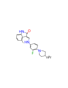 CCCC1CCN(c2ccc(N/C=C3/C(=O)Nc4cccc(C)c43)cc2F)CC1